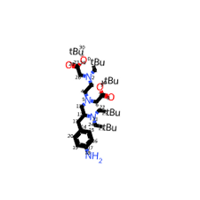 CC(C)(C)CN(CCN(CC(=O)OC(C)(C)C)CC(Cc1ccc(N)cc1)N(CC(C)(C)C)CC(C)(C)C)CC(=O)OC(C)(C)C